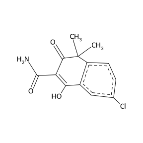 CC1(C)C(=O)C(C(N)=O)=C(O)c2cc(Cl)ccc21